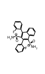 NS(=O)(=O)c1c(-c2ccccc2F)c(S(N)(=O)=O)c2ccccc2c1-c1ccccc1F